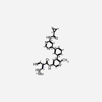 Cc1ncc(NC(=O)/C(C=N)=C/NC(C)(C)C)cc1-c1cccc(-c2cc(NC(=O)C3CC3)ncn2)c1